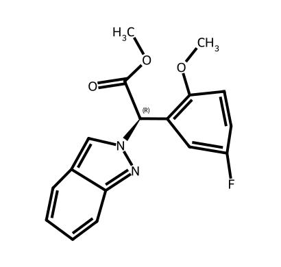 COC(=O)[C@@H](c1cc(F)ccc1OC)n1cc2ccccc2n1